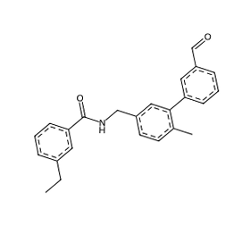 CCc1cccc(C(=O)NCc2ccc(C)c(-c3cccc(C=O)c3)c2)c1